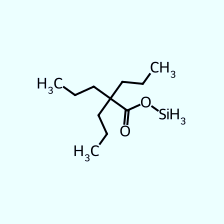 CCCC(CCC)(CCC)C(=O)O[SiH3]